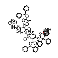 C=C(O/N=C(\C(=O)N[C@@H]1C(=O)N2C(C(=O)OC(c3ccccc3)c3ccccc3)=C(SC(Sc3c[nH]nn3)C(c3ccccc3)(c3ccccc3)c3ccccc3)CS[C@H]12)c1csc(NC(=O)OC(C)(C)C)n1)C(=O)OC(c1ccccc1)c1ccccc1